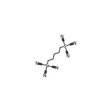 N#C[Si](C#N)(C#N)CCCCCS(C#N)(C#N)C#N